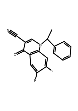 CC(c1ccccc1)n1cc(C#N)c(=O)c2cc(F)c(F)cc21